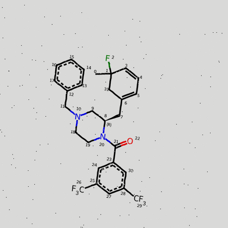 CC1(F)C=CC=C(C[C@@H]2CN(Cc3ccccc3)CCN2C(=O)c2cc(C(F)(F)F)cc(C(F)(F)F)c2)C1